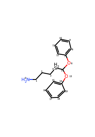 NCCC[SiH2]C(Oc1ccccc1)Oc1ccccc1